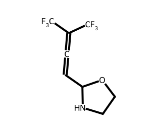 FC(F)(F)C(=C=CC1NCCO1)C(F)(F)F